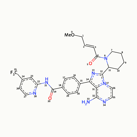 COC/C=C/C(=O)N1CCCCC1c1nc(-c2ccc(C(=O)Nc3cc(C(F)(F)F)ccn3)cc2)c2c(N)nccn12